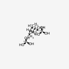 CC.CC.CC.CC.OP(O)O.OP(O)O